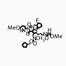 CONC(=O)NCCCc1sc2c(c1CN(C)C(=O)OCc1ccccc1)c(=O)n(-c1ccc(OC)nn1)c(=O)n2Cc1c(F)cccc1F